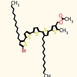 CCCCCCCCCCCCc1cc(Br)sc1-c1ccc(-c2ccc(-c3sc(-c4cc(COC(C)=O)c(C)s4)cc3CCCCCCCCCCCC)s2)s1